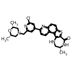 C[C@@H]1CNc2c(sc3ccc4nc(-c5cc(Cl)nc(CN6C[C@@H](C)O[C@@H](C)C6)c5)ccc4c23)C(=O)N1